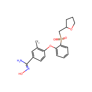 N/C(=N\O)c1ccc(Oc2ccccc2S(=O)(=O)CC2CCCO2)c(C(F)(F)F)c1